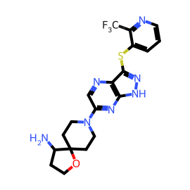 NC1CCOC12CCN(c1cnc3c(Sc4cccnc4C(F)(F)F)n[nH]c3n1)CC2